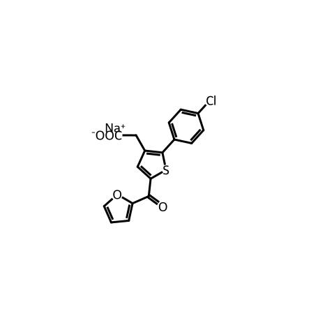 O=C([O-])Cc1cc(C(=O)c2ccco2)sc1-c1ccc(Cl)cc1.[Na+]